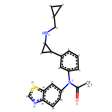 O=C(N(c1cccc(C2CC2NCC2CC2)c1)c1ccc2ncsc2c1)C(F)(F)F